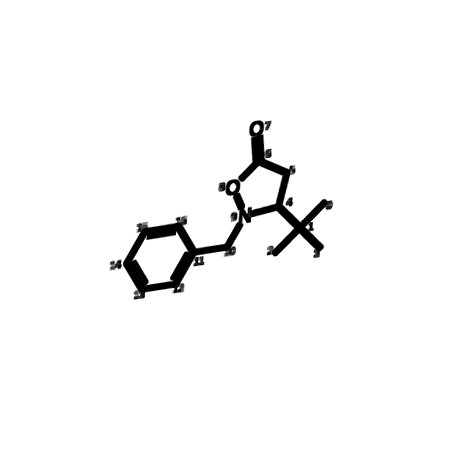 CC(C)(C)C1CC(=O)ON1Cc1ccccc1